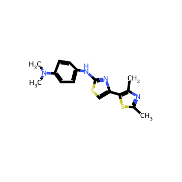 Cc1nc(C)c(-c2csc(Nc3ccc(N(C)C)cc3)n2)s1